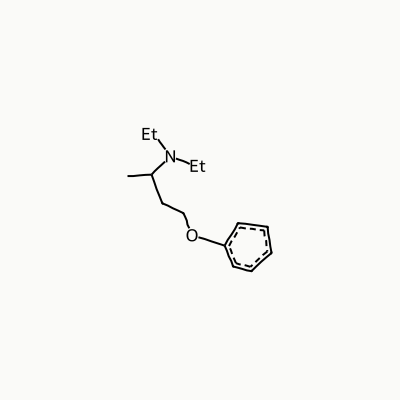 CCN(CC)C(C)CCOc1ccccc1